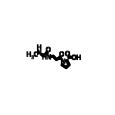 CNCC(=O)NCCC(=O)N1CCC[C@H]1C(=O)O